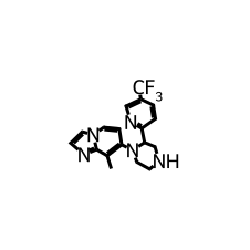 Cc1c(N2CCNCC2c2ccc(C(F)(F)F)cn2)ccn2ccnc12